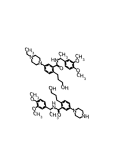 CCN1CCN(c2ccc(CCCO)c(C(=O)N[C@H](C)c3ccc(OC)c(OC)c3)c2)CC1.COc1ccc([C@@H](C)NC(=O)c2cc(N3CCNCC3)ccc2CCCO)cc1OC